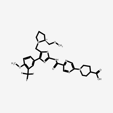 COC[C@@H]1CCCN1Cc1sc(NC(=O)c2cnc(N3CCC(C(=O)O)CC3)cn2)nc1-c1ccc(OC)c(C(F)(F)F)c1